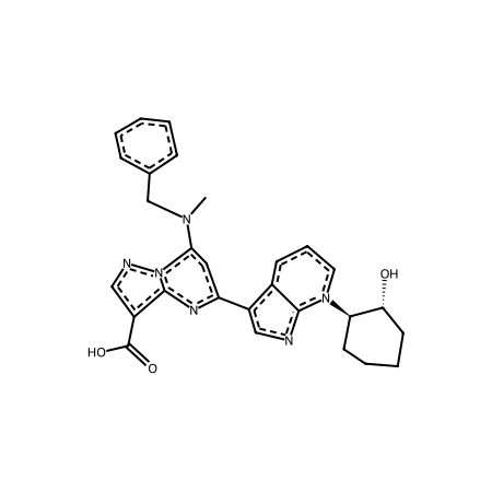 CN(Cc1ccccc1)c1cc(-c2cnc3n([C@@H]4CCCC[C@H]4O)cccc2-3)nc2c(C(=O)O)cnn12